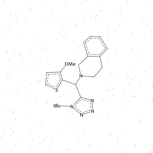 COc1ccsc1C(c1nnnn1C(C)(C)C)N1CCc2ccccc2C1